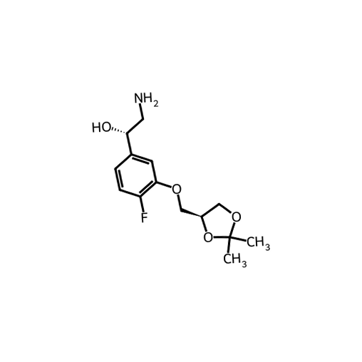 CC1(C)OC[C@H](COc2cc([C@H](O)CN)ccc2F)O1